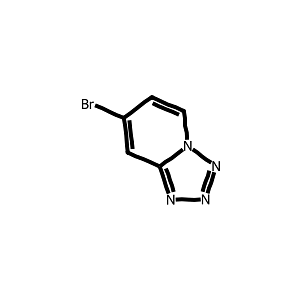 Brc1ccn2nnnc2c1